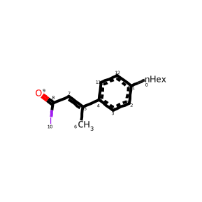 CCCCCCc1ccc(/C(C)=C/C(=O)I)cc1